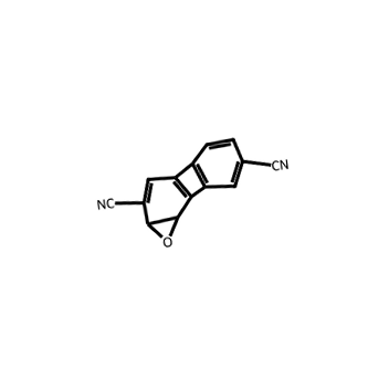 N#CC1=CC2=C(c3cc(C#N)ccc32)C2OC12